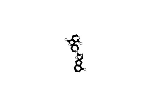 O=C1CC=CC2=C1CC1(CN=C(N3CCC4(CC3)OC(=O)c3ccnc(Cl)c34)O1)C2